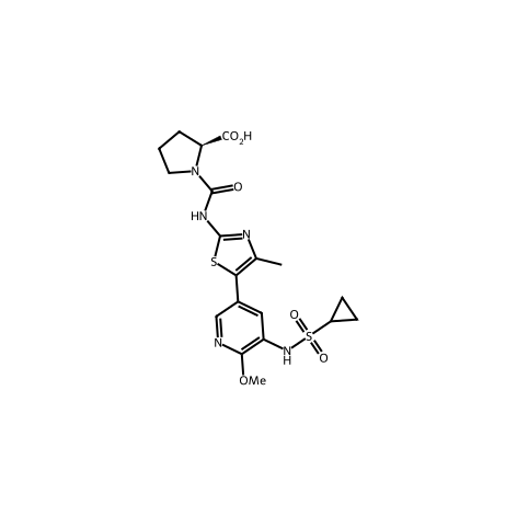 COc1ncc(-c2sc(NC(=O)N3CCC[C@H]3C(=O)O)nc2C)cc1NS(=O)(=O)C1CC1